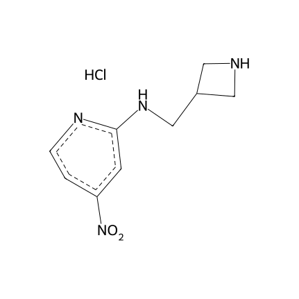 Cl.O=[N+]([O-])c1ccnc(NCC2CNC2)c1